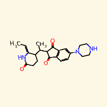 C/C=C1\NC(=O)CCC1C(C)C1C(=O)c2ccc(N3CCNCC3)cc2C1=O